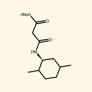 CCCCCCCCCC(=O)CC(=O)N[C@H]1CC(C)CCC1C